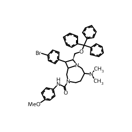 COc1ccc(NC(=O)N2CCC(N(C)C)CN3C(C2)C(c2ccc(Br)cc2)[C@H]3COC(c2ccccc2)(c2ccccc2)c2ccccc2)cc1